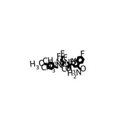 Cc1c(NC(=O)c2cc(C(N)=O)c3ccc(F)cc3n2)c(C(F)(F)F)nn1Cc1ccc(C(C)(C)C)cc1